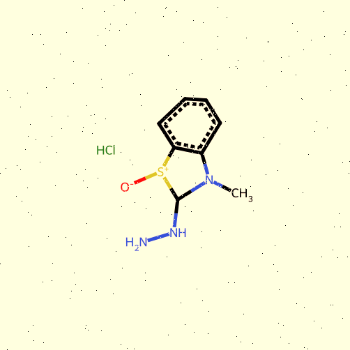 CN1c2ccccc2[S+]([O-])C1NN.Cl